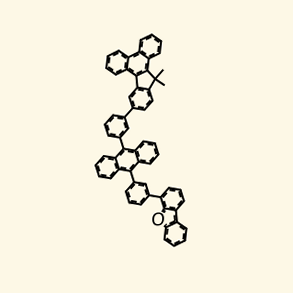 CC1(C)c2ccc(-c3cccc(-c4c5ccccc5c(-c5cccc(-c6cccc7c6oc6ccccc67)c5)c5ccccc45)c3)cc2-c2c1c1ccccc1c1ccccc21